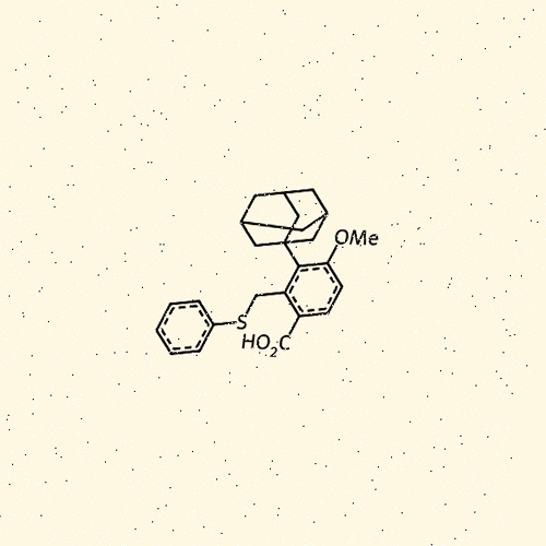 COc1ccc(C(=O)O)c(CSc2ccccc2)c1C12CC3CC(CC(C3)C1)C2